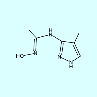 CC(=NO)Nc1n[nH]cc1C